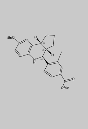 COC(=O)c1ccc([C@H]2Nc3ccc(OCC(C)C)cc3[C@@H]3CCC[C@H]23)c(C)c1